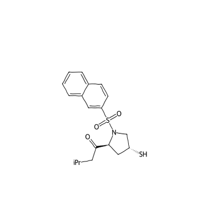 CC(C)CC(=O)[C@@H]1C[C@@H](S)CN1S(=O)(=O)c1ccc2ccccc2c1